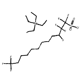 CC[N+](CC)(CC)CC.O=S(=O)([O-])C(F)(F)C(F)(F)C(F)CCCCCCCCC(F)(F)F